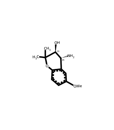 COc1ccc2c(c1)[C@@H](N)[C@H](O)C(C)(C)O2